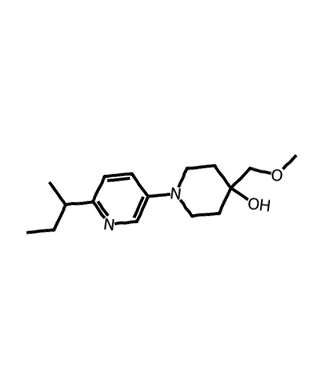 CCC(C)c1ccc(N2CCC(O)(COC)CC2)cn1